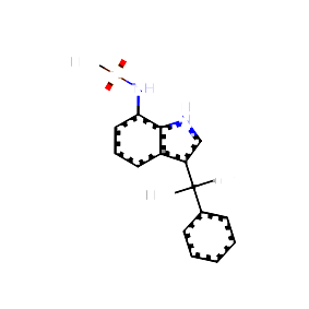 CCCC(C)(c1ccccc1)c1c[nH]c2c(NS(C)(=O)=O)cccc12